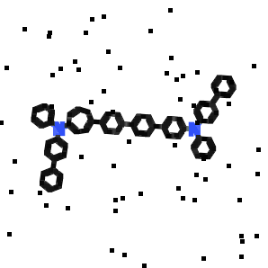 C1=CC(N(c2ccccc2)c2ccc(-c3ccccc3)cc2)=CC=C(c2ccc(-c3ccc(-c4ccc(N(c5ccccc5)c5ccc(-c6ccccc6)cc5)cc4)cc3)cc2)C1